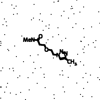 CNC(=O)CCOCCn1cc(C)nn1